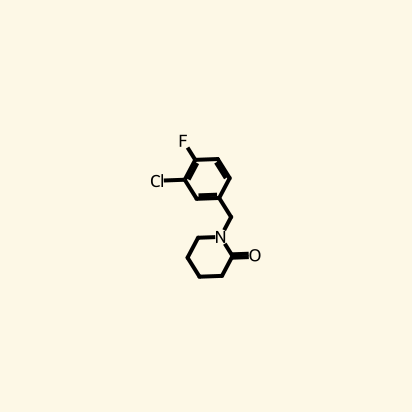 O=C1CCCCN1Cc1ccc(F)c(Cl)c1